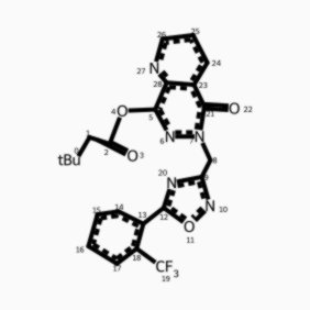 CC(C)(C)CC(=O)Oc1nn(Cc2noc(-c3ccccc3C(F)(F)F)n2)c(=O)c2cccnc12